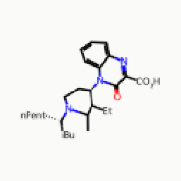 CCCCC[C@@H](C(C)CC)N1CC[C@@H](n2c(=O)c(C(=O)O)nc3ccccc32)C(CC)C1C